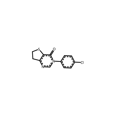 O=c1c2c(ncn1-c1ccc(Cl)cc1)CCS2